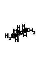 COBNc1ccc2c(c1)NCC(NBOC)C2